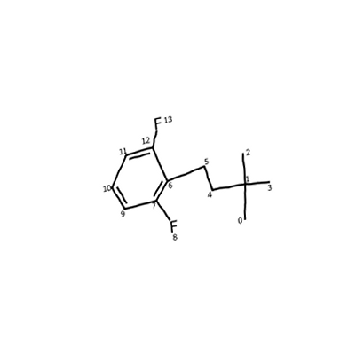 CC(C)(C)CCc1c(F)cccc1F